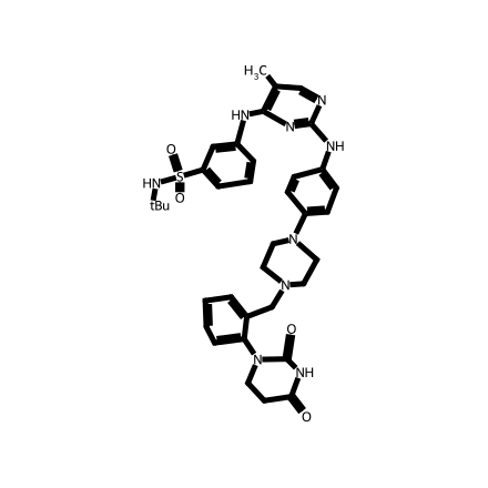 Cc1cnc(Nc2ccc(N3CCN(Cc4ccccc4N4CCC(=O)NC4=O)CC3)cc2)nc1Nc1cccc(S(=O)(=O)NC(C)(C)C)c1